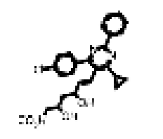 O=C(O)CC(O)CC(O)/C=C/c1c(-c2ccc(Cl)cc2)nc(-c2ccccc2)nc1C1CC1